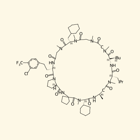 CC[C@H](C)[C@@H]1NC(=O)[C@H](CC(C)C)N(C)C(=O)C[C@@H](C)NC(=O)[C@H](C2CCCCC2)N(C)C(=O)C2(CCCC2)NC(=O)[C@@H]2CCCN2C(=O)[C@H](CCc2ccc(C(F)(F)F)c(Cl)c2)NC(=O)CN(C)C(=O)[C@H](CC2CCCCC2)N(C)C(=O)CN(C)C(=O)CN(C)C1=O